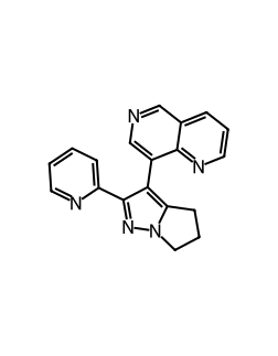 c1ccc(-c2nn3c(c2-c2cncc4cccnc24)CCC3)nc1